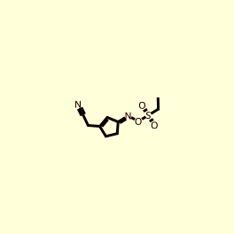 CCS(=O)(=O)ON=C1C=C(CC#N)CC1